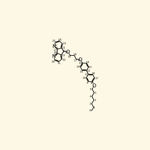 CCCCCCCOc1ccc(-c2ccc(OCCCOC3c4cccnc4-c4ncccc43)cc2)cc1